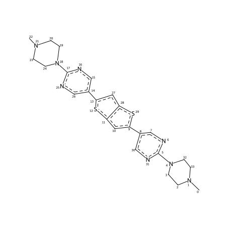 CN1CCN(c2ncc(-c3cc4sc(-c5cnc(N6CCN(C)CC6)nc5)cc4s3)cn2)CC1